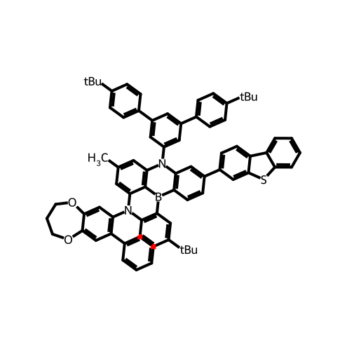 Cc1cc2c3c(c1)N(c1cc4c(cc1-c1ccccc1)OCCCO4)c1ccc(C(C)(C)C)cc1B3c1ccc(-c3ccc4c(c3)sc3ccccc34)cc1N2c1cc(-c2ccc(C(C)(C)C)cc2)cc(-c2ccc(C(C)(C)C)cc2)c1